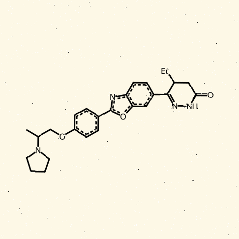 CCC1CC(=O)NN=C1c1ccc2nc(-c3ccc(OCC(C)N4CCCC4)cc3)oc2c1